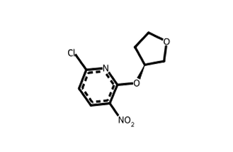 O=[N+]([O-])c1ccc(Cl)nc1O[C@H]1CCOC1